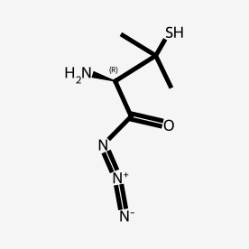 CC(C)(S)[C@H](N)C(=O)N=[N+]=[N-]